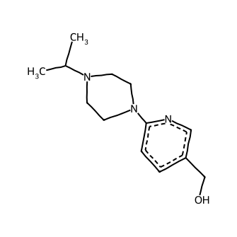 CC(C)N1CCN(c2ccc(CO)cn2)CC1